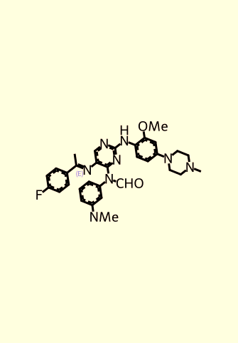 CNc1cccc(N(C=O)c2nc(Nc3ccc(N4CCN(C)CC4)cc3OC)ncc2/N=C(\C)c2ccc(F)cc2)c1